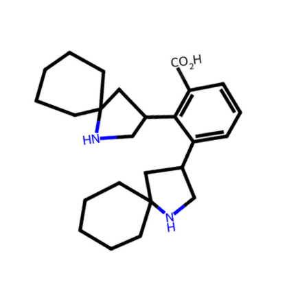 O=C(O)c1cccc(C2CNC3(CCCCC3)C2)c1C1CNC2(CCCCC2)C1